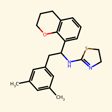 Cc1cc(C)cc(CC(NC2=NCCS2)c2cccc3c2OCCC3)c1